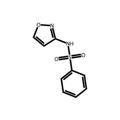 O=S(=O)(Nc1ccon1)c1ccccc1